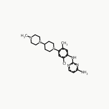 Cc1cc(Nc2nccc(N)n2)c(Cl)cc1N1CCC(N2CCN(C)CC2)CC1